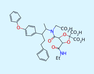 CCNC(=O)C1OC(C(=O)O)(C(=O)O)OC1C(=O)N(CC(=O)O)C(C)C(CCc1ccccc1)c1ccc(Oc2ccccc2)cc1